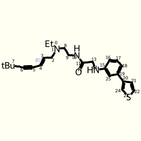 CCN(C/C=C/C#CC(C)(C)C)CCNC(=O)CNc1cccc(-c2ccsc2)c1